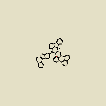 CC1(C)c2ccccc2-c2cccc(N(c3ccc(-c4cccc5cccc(-c6ccccc6)c45)cc3)c3ccc4c(c3)sc3ccc5ccccc5c34)c21